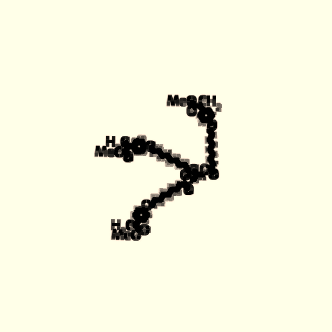 C=C(C(=O)OC)c1ccc(OCCCCCCCCC(=O)OCC(COC(=O)CCCCCCCCOc2ccc(C(=C)C(=O)OC)cc2)OC(=O)CCCCCCCCOc2ccc(C(=C)C(=O)OC)cc2)cc1